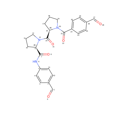 O=Cc1ccc(NC(=O)[C@H]2CCCN2C(=O)[C@H]2CCCN2C(=O)c2ccc(C=O)cc2)cc1